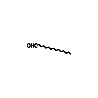 CC=CCCCCCCCCCC=CC=O